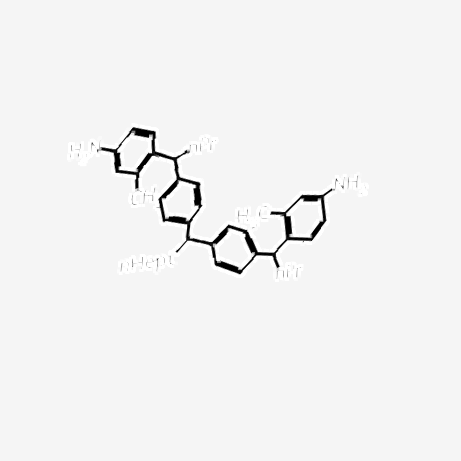 CCCCCCCC(c1ccc(C(CCC)c2ccc(N)cc2C)cc1)c1ccc(C(CCC)c2ccc(N)cc2C)cc1